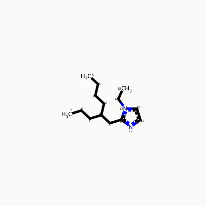 CCCCC(CCC)Cc1nccn1CC